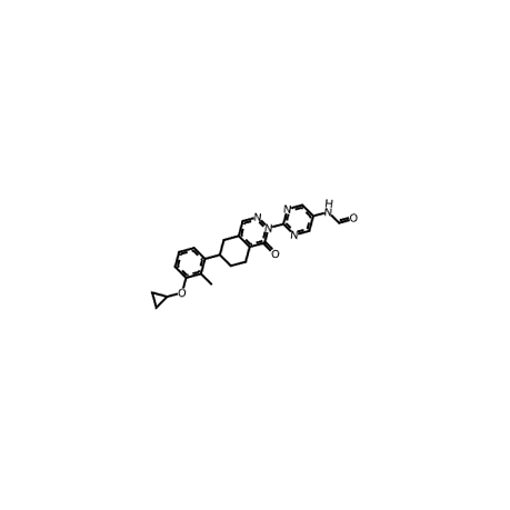 Cc1c(OC2CC2)cccc1C1CCc2c(cnn(-c3ncc(NC=O)cn3)c2=O)C1